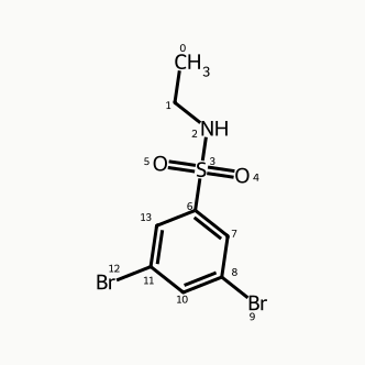 CCNS(=O)(=O)c1cc(Br)cc(Br)c1